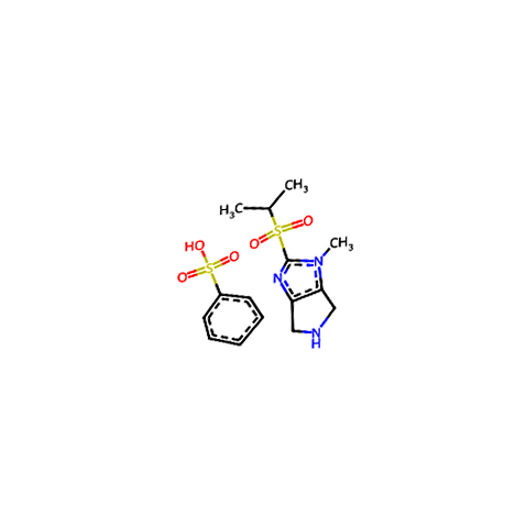 CC(C)S(=O)(=O)c1nc2c(n1C)CNC2.O=S(=O)(O)c1ccccc1